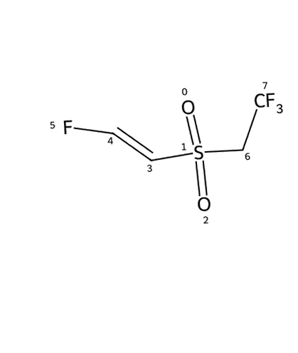 O=S(=O)(C=CF)CC(F)(F)F